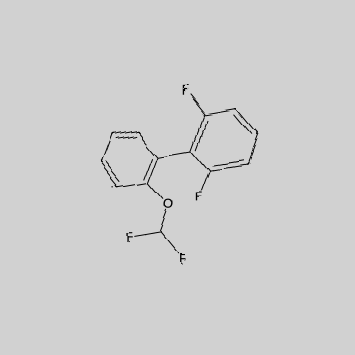 Fc1cccc(F)c1-c1ccc[c]c1OC(F)F